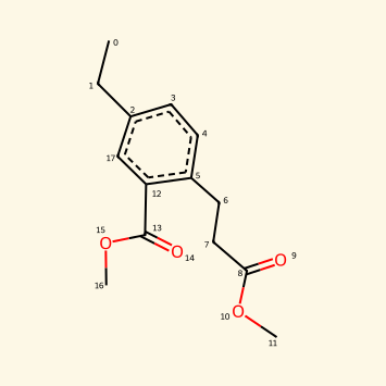 CCc1ccc(CCC(=O)OC)c(C(=O)OC)c1